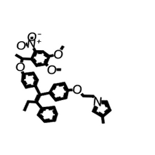 CC/C(=C(/c1ccc(OCCn2ccc(C)c2)cc1)c1ccc(OC(C)c2cc(OC)c(OC)cc2[N+](=O)[O-])cc1)c1ccccc1